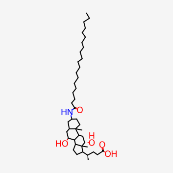 CCCCCCCCCCCCCCCCCCCC(=O)NC1CCC2(C)C(C1)CC(O)C1C2C[C@H](O)C2(C)C1CCC2[C@H](C)CCC(=O)O